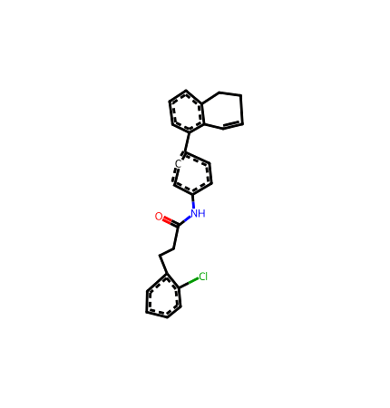 O=C(CCc1ccccc1Cl)Nc1ccc(-c2cccc3c2C=CCC3)cc1